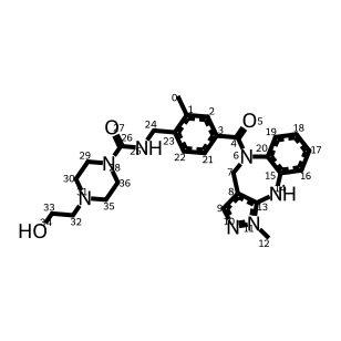 Cc1cc(C(=O)N2Cc3cnn(C)c3Nc3ccccc32)ccc1CNC(=O)N1CCN(CCO)CC1